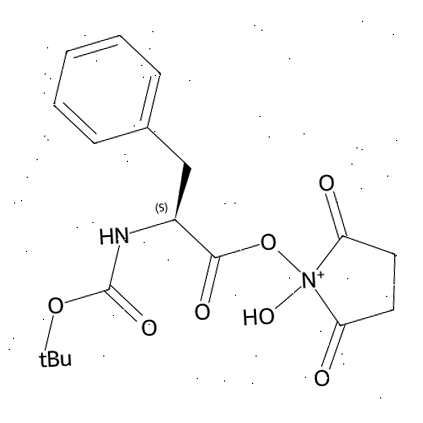 CC(C)(C)OC(=O)N[C@@H](Cc1ccccc1)C(=O)O[N+]1(O)C(=O)CCC1=O